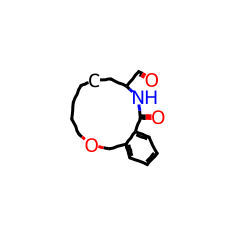 O=CC1CCCCCCOCc2ccccc2C(=O)N1